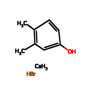 Br.Cc1ccc(O)cc1C.[CaH2]